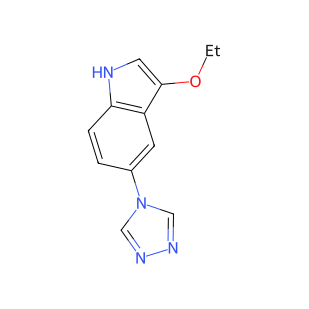 CCOc1c[nH]c2ccc(-n3cnnc3)cc12